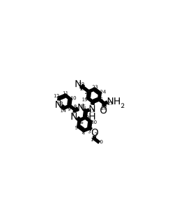 CCOc1ccc2nc(-c3cccnc3)nc(Nc3cc(C#N)ccc3C(N)=O)c2c1